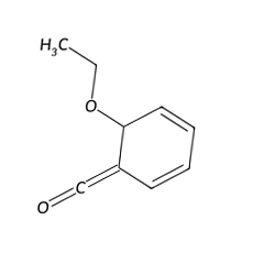 CCOC1C=CC=CC1=C=O